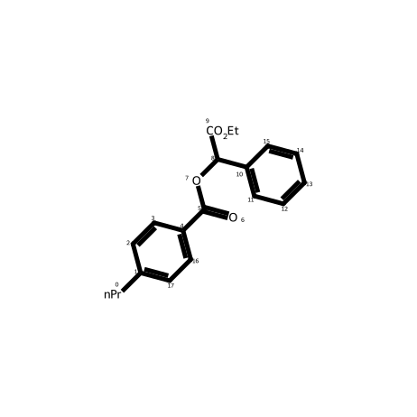 CCCc1ccc(C(=O)OC(C(=O)OCC)c2ccccc2)cc1